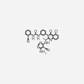 C[C@H](Nc1ncnc(N)c1C#N)c1nc2cccc(Cl)c2c(=O)n1-c1cccc(NC(=O)Nc2ccccc2C#N)c1